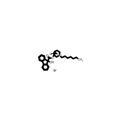 CCCCCCC[N+]12CCC(CC1)[C@@H](OC(=O)C1(O)c3ccccc3-c3ccccc31)C2.[Br-]